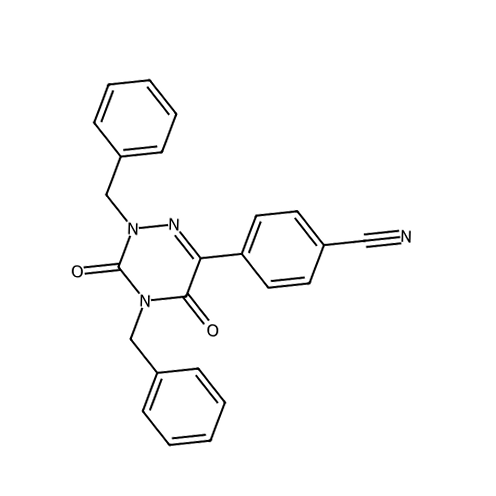 N#Cc1ccc(-c2nn(Cc3ccccc3)c(=O)n(Cc3ccccc3)c2=O)cc1